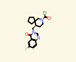 O=C(Cl)N1CC[C@@H](Cn2cnc3ccc(F)cc3c2=O)C2(CCCC2)C1